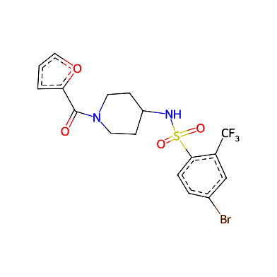 O=C(c1ccco1)N1CCC(NS(=O)(=O)c2ccc(Br)cc2C(F)(F)F)CC1